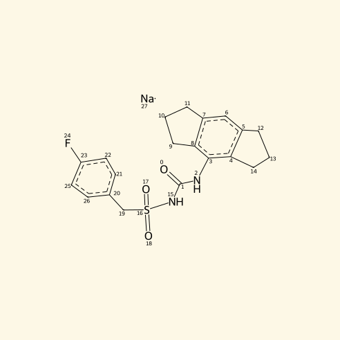 O=C(Nc1c2c(cc3c1CCC3)CCC2)NS(=O)(=O)Cc1ccc(F)cc1.[Na]